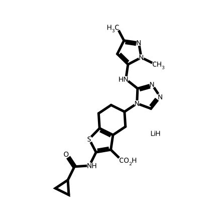 Cc1cc(Nc2nncn2C2CCc3sc(NC(=O)C4CC4)c(C(=O)O)c3C2)n(C)n1.[LiH]